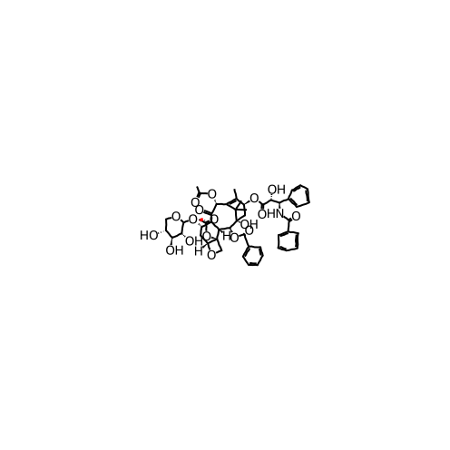 CC(=O)O[C@H]1C(=O)[C@]2(C)[C@@H](OC3OC[C@@H](O)[C@H](O)[C@H]3O)C[C@H]3OC[C@@]3(OC(C)=O)[C@H]2[C@H](OC(=O)c2ccccc2)[C@]2(O)C[C@H](OC(=O)[C@H](O)[C@H](NC(=O)c3ccccc3)c3ccccc3)C(C)=C1C2(C)C